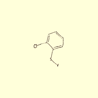 Clc1ccccc1[S][V]